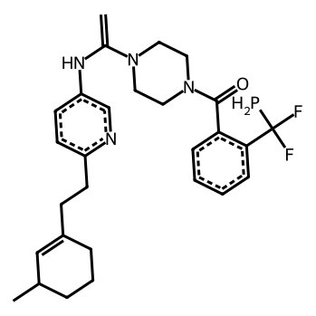 C=C(Nc1ccc(CCC2=CC(C)CCC2)nc1)N1CCN(C(=O)c2ccccc2C(F)(F)P)CC1